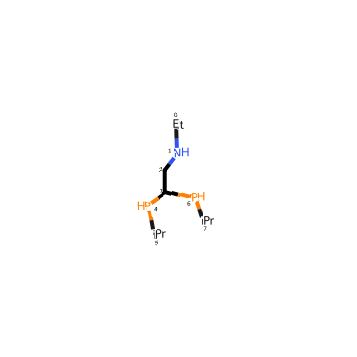 CCNCC(PC(C)C)PC(C)C